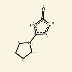 O=c1[nH]c(N2C[CH]CC2)no1